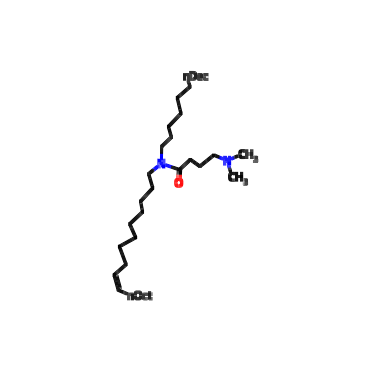 CCCCCCCC/C=C\CCCCCCCCN(CCCCCCCCCCCCCCCC)C(=O)CCCN(C)C